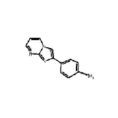 Bc1ccc(-c2cn3cccnc3n2)cc1